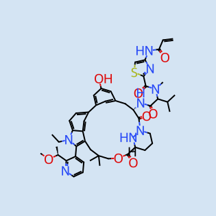 C=CC(=O)Nc1csc(C(=O)N(C)C(C(=O)N[C@H]2Cc3cc(O)cc(c3)-c3ccc4c(c3)c(c(-c3cccnc3[C@H](C)OC)n4CC)CC(C)(C)COC(=O)[C@@H]3CCCN(N3)C2=O)C(C)C)n1